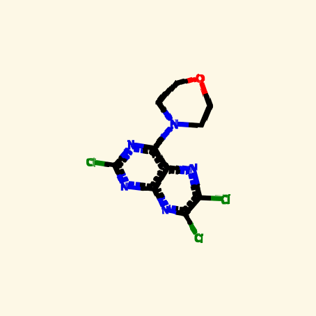 Clc1nc(N2CCOCC2)c2nc(Cl)c(Cl)nc2n1